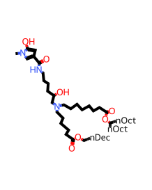 CCCCCCCCCCCOC(=O)CCCCCN(CCCCCCCC(=O)OC(CCCCCCCC)CCCCCCCC)CC(O)CCCCNC(=O)c1cc(O)n(C)c1